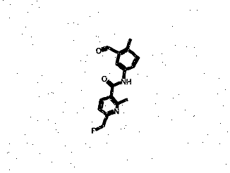 Cc1ccc(NC(=O)c2ccc(CF)nc2C)cc1C=O